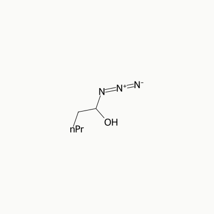 CCCCC(O)N=[N+]=[N-]